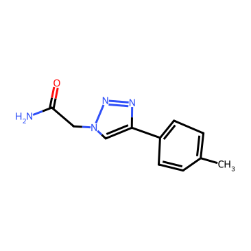 Cc1ccc(-c2cn(CC(N)=O)nn2)cc1